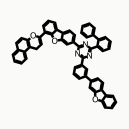 C1=C(c2cccc3c2oc2cc(-c4nc(-c5cccc(-c6ccc7c(c6)oc6ccccc67)c5)nc(-c5ccccc5-c5ccccc5)n4)ccc23)Oc2ccc3ccccc3c2C1